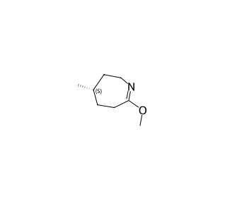 COC1=NCC[C@@H](C)CC1